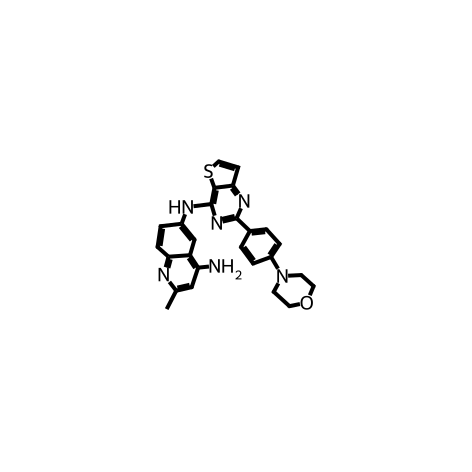 Cc1cc(N)c2cc(Nc3nc(-c4ccc(N5CCOCC5)cc4)nc4ccsc34)ccc2n1